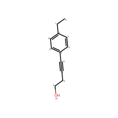 CCc1ccc(C#CCCO)cc1